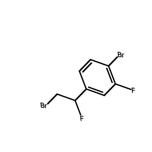 Fc1cc(C(F)CBr)ccc1Br